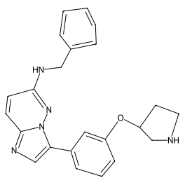 c1ccc(CNc2ccc3ncc(-c4cccc(OC5CCNC5)c4)n3n2)cc1